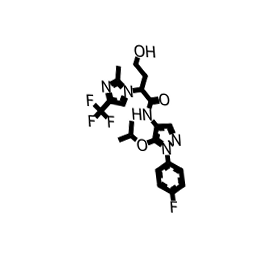 Cc1nc(C(F)(F)F)cn1C(CCO)C(=O)Nc1cnn(-c2ccc(F)cc2)c1OC(C)C